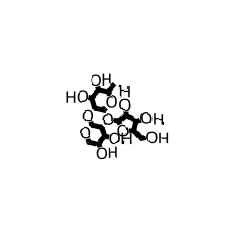 CC1OCC(OC2OCC(O)C(O)C2OC2OC(CO)C(O)C2O)C(O)C1O